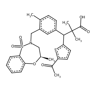 CC(=O)c1ccc(C(c2ccc(C)c(CN3C[C@@H](C)Oc4ccccc4S3(=O)=O)c2)C(C)(C)C(=O)O)s1